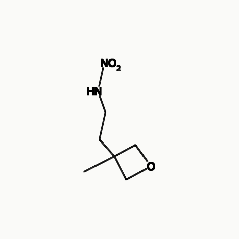 CC1(CCN[N+](=O)[O-])COC1